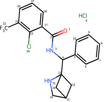 Cl.O=C(NC(c1ccccc1)C12CC(CN1)C2)c1cccc(C(F)(F)F)c1Cl